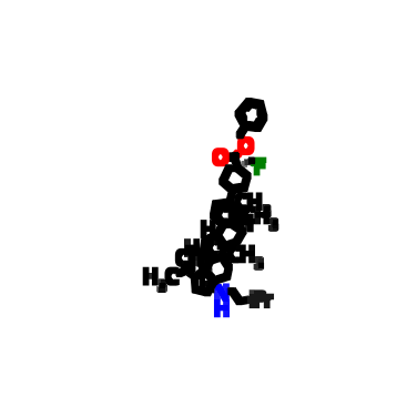 C=C(C)[C@@H]1CC[C@]2(NCCC(C)C)CC[C@]3(C)[C@H](CC[C@@H]4[C@@]5(C)CC=C(C6=CC[C@](CF)(C(=O)OCc7ccccc7)CC6)C(C)(C)[C@@H]5CC[C@]43C)[C@@H]12